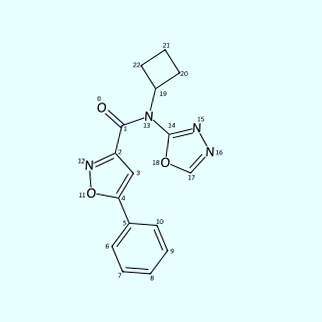 O=C(c1cc(-c2ccccc2)on1)N(c1nnco1)C1CCC1